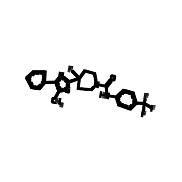 Cc1sc(C2(F)CCN(C(=O)Nc3ccc(C(F)(F)F)cc3)CC2)nc1-c1ccccc1